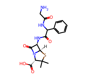 CC1(C)S[C@@H]2[C@H](NC(=O)C(NC(=O)CN)c3ccccc3)C(=O)N2[C@H]1C(=O)O